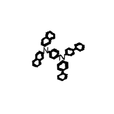 C1=CCC(c2ccc(N(c3ccc(-c4ccccc4)cc3)c3ccc(N(c4ccc5ccccc5c4)c4ccc5ccccc5c4)cc3)cc2)C=C1